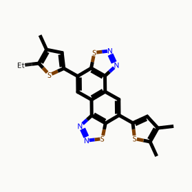 CCc1sc(-c2cc3c(cc(-c4cc(C)c(C)s4)c4snnc43)c3nnsc23)cc1C